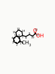 Cc1cccc2c1C(CCCC(=O)O)CCC2